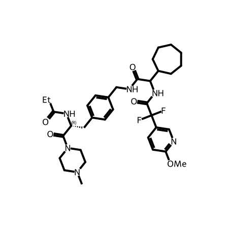 CCC(=O)N[C@H](Cc1ccc(CNC(=O)C(NC(=O)C(F)(F)c2ccc(OC)nc2)C2CCCCCC2)cc1)C(=O)N1CCN(C)CC1